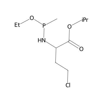 CCOP(C)NC(CCCl)C(=O)OC(C)C